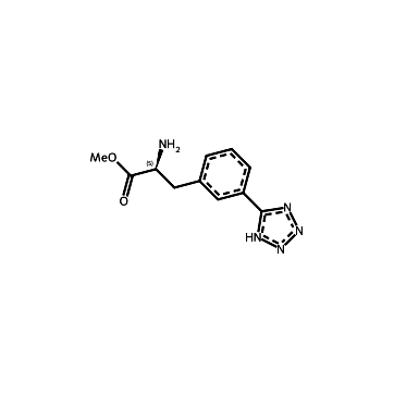 COC(=O)[C@@H](N)Cc1cccc(-c2nnn[nH]2)c1